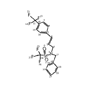 O=S(=O)(N(CC=Cc1ccc(C(F)(F)F)cc1)Cc1ccccc1)C(F)(F)F